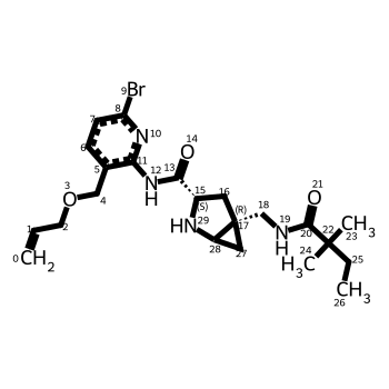 C=CCOCc1ccc(Br)nc1NC(=O)[C@@H]1C[C@@]2(CNC(=O)C(C)(C)CC)CC2N1